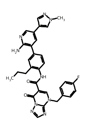 CCCc1cc(-c2cc(-c3cnn(C)c3)cnc2N)ccc1NC(=O)c1cn(Cc2ccc(F)cc2)c2ncnn2c1=O